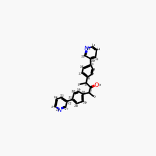 CC(C(=O)C(C)c1ccc(-c2cccnc2)cc1)c1ccc(-c2cccnc2)cc1